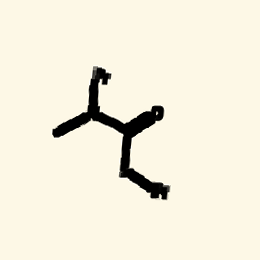 CC(C)SC(=O)N(C)C(C)C